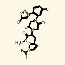 COC(=O)C(Cc1ccn(C(F)F)n1)N1CC(=O)N(c2cc(Cl)ccc2-n2cc(Cl)nn2)CC1=O